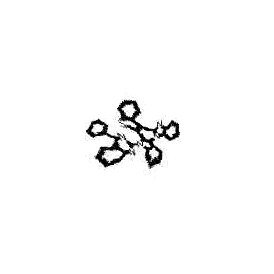 c1ccc(-c2nc(-n3c4ccccc4c4c3c3sc5ccccc5c3c3nc5ccccc5n34)nc3ccccc23)cc1